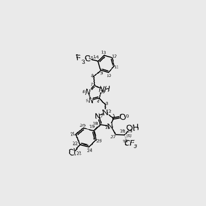 O=c1n(Cc2nnc(Cc3ccccc3C(F)(F)F)[nH]2)nc(-c2ccc(Cl)cc2)n1C[C@H](O)C(F)(F)F